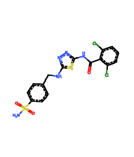 NS(=O)(=O)c1ccc(CNc2nnc(NC(=O)c3c(Cl)cccc3Cl)s2)cc1